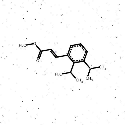 COC(=O)/C=C/c1cccc(C(C)C)c1C(C)C